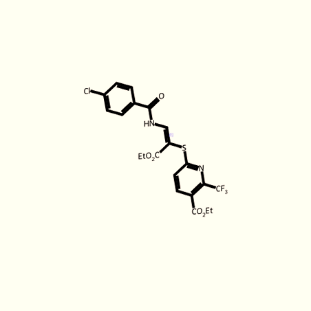 CCOC(=O)/C(=C\NC(=O)c1ccc(Cl)cc1)Sc1ccc(C(=O)OCC)c(C(F)(F)F)n1